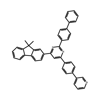 CC1(C)c2ccccc2-c2ccc(-c3cc(-c4ccc(-c5cccnc5)cc4)nc(-c4ccc(-c5ccccc5)cc4)n3)cc21